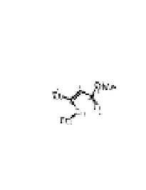 CCO/C(=C\C(=O)OC)CC